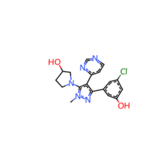 Cn1nc(-c2cc(O)cc(Cl)c2)c(-c2ccncn2)c1N1CCC(O)C1